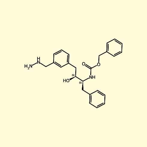 NNCc1cccc(C[C@H](O)[C@H](Cc2ccccc2)NC(=O)OCc2ccccc2)c1